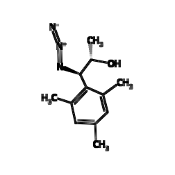 Cc1cc(C)c([C@@H](N=[N+]=[N-])[C@H](C)O)c(C)c1